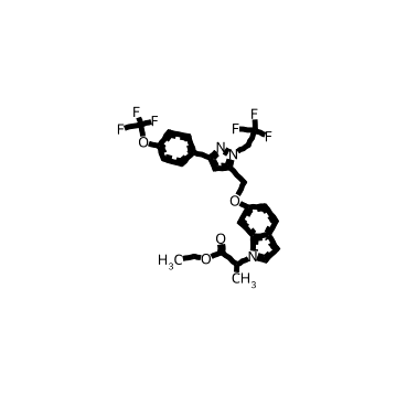 CCOC(=O)C(C)n1ccc2ccc(OCc3cc(-c4ccc(OC(F)(F)F)cc4)nn3CC(F)(F)F)cc21